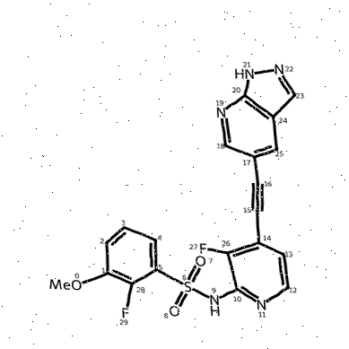 COc1cccc(S(=O)(=O)Nc2nccc(C#Cc3cnc4[nH]ncc4c3)c2F)c1F